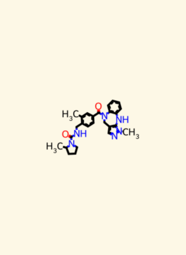 Cc1cc(C(=O)N2Cc3cnn(C)c3Nc3ccccc32)ccc1CNC(=O)N1CCCC1C